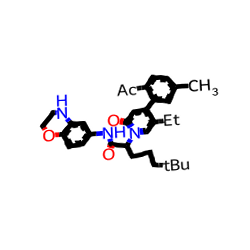 CCc1cn(C(CCCC(C)(C)C)C(=O)Nc2ccc3c(c2)NCCO3)c(=O)cc1-c1cc(C)ccc1C(C)=O